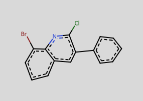 Clc1nc2c(Br)cccc2cc1-c1ccccc1